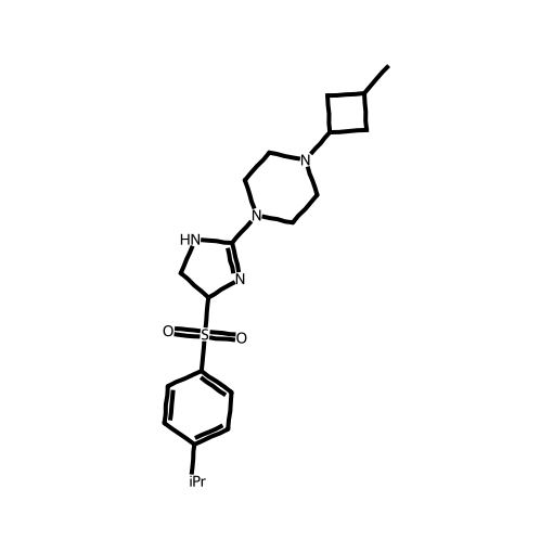 CC1CC(N2CCN(C3=NC(S(=O)(=O)c4ccc(C(C)C)cc4)CN3)CC2)C1